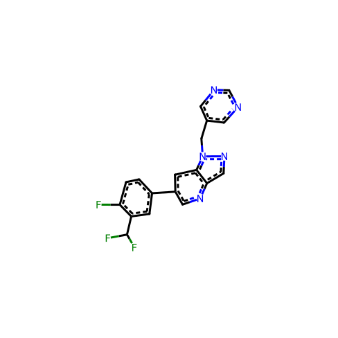 Fc1ccc(-c2cnc3cnn(Cc4cncnc4)c3c2)cc1C(F)F